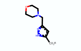 O=C(O)c1cc(CN2CCOCC2)n[nH]1